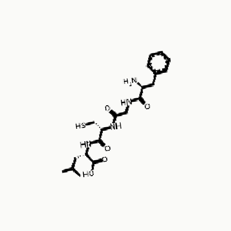 CC(C)C[C@H](NC(=O)[C@H](CS)NC(=O)CNC(=O)[C@@H](N)Cc1ccccc1)C(=O)O